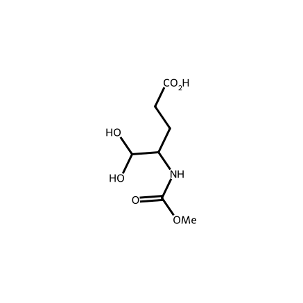 COC(=O)NC(CCC(=O)O)C(O)O